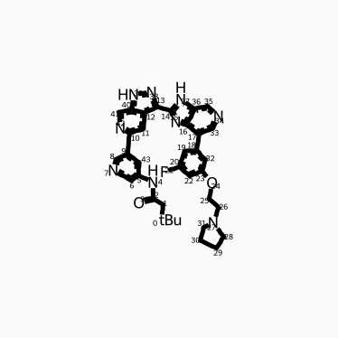 CC(C)(C)CC(=O)Nc1cncc(-c2cc3c(-c4nc5c(-c6cc(F)cc(OCCN7CCCC7)c6)cncc5[nH]4)n[nH]c3cn2)c1